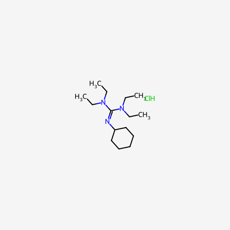 CCN(CC)C(=NC1CCCCC1)N(CC)CC.Cl